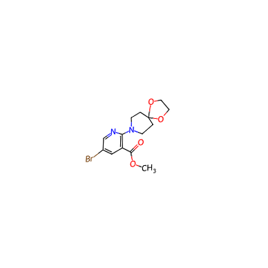 COC(=O)c1cc(Br)cnc1N1CCC2(CC1)OCCO2